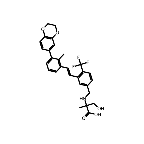 Cc1c(C=Cc2cc(CNC(C)(CO)C(=O)O)ccc2C(F)(F)F)cccc1-c1ccc2c(c1)OCCO2